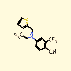 N#Cc1ccc(N(Cc2cccs2)CC(F)(F)F)cc1C(F)(F)F